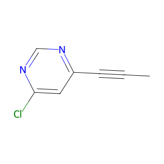 CC#Cc1cc(Cl)ncn1